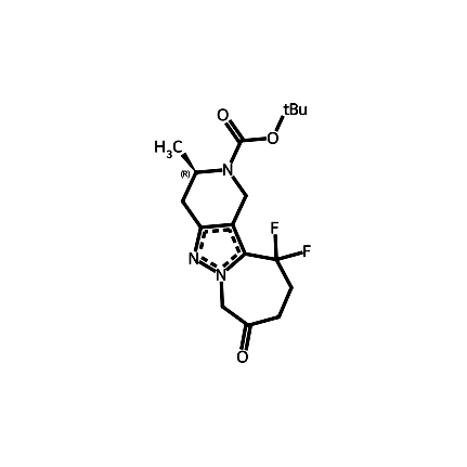 C[C@@H]1Cc2nn3c(c2CN1C(=O)OC(C)(C)C)C(F)(F)CCC(=O)C3